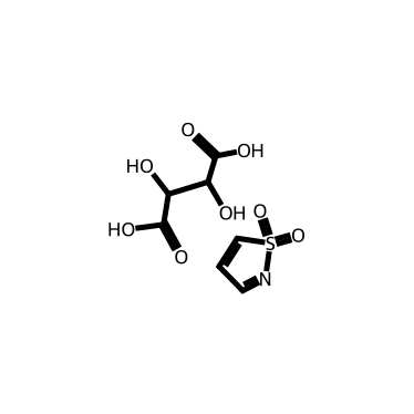 O=C(O)C(O)C(O)C(=O)O.O=S1(=O)C=CC=N1